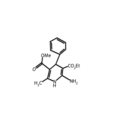 CCOC(=O)C1=C(N)NC(C)=C(C(=O)OC)C1c1ccccc1